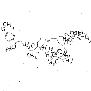 COc1ccc(C(O)CCC[C@@H](C)[C@H]2CC[C@H]3/C(=C/C=C4C[C@@H](O[Si](C)(C)C(C)(C)C)C[C@H](O[Si](C)(C)C(C)(C)C)C4)CCC[C@]23C)cc1